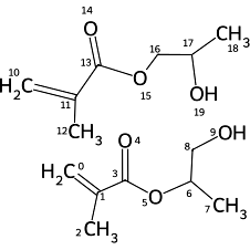 C=C(C)C(=O)OC(C)CO.C=C(C)C(=O)OCC(C)O